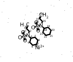 C=CCN(C1CCCCC1)S(=O)(=O)[O-].C=CCN(C1CCCCC1)S(=O)(=O)[O-].[Ni+2]